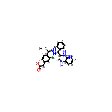 C[C@H](CN[C@H](c1ccccc1)[C@H]1CNc2cccnc2N1)c1ccc(CC(=O)O)cc1Cl